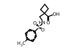 Cc1ccc(S(=O)(=O)NCC2(C(=O)O)CCC2)cc1